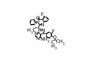 CC[C@@H](c1nc2cccc(F)c2c(=O)n1-c1ccccc1)n1nc(-c2ccc(OC(C)C)c(F)c2)c2c(N)ncnc21